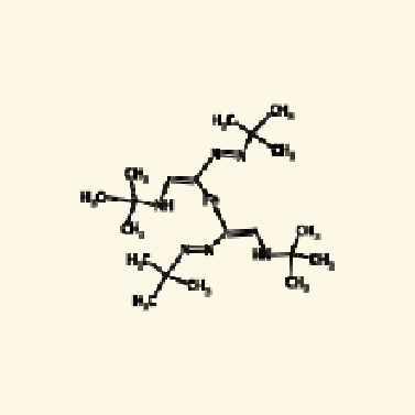 CC(C)(C)N=N[C](=CNC(C)(C)C)[Fe][C](=CNC(C)(C)C)N=NC(C)(C)C